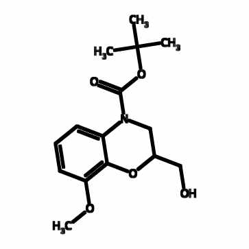 COc1cccc2c1OC(CO)CN2C(=O)OC(C)(C)C